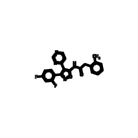 Cc1ccccc1CC(=O)Nc1onc(-c2ccc(F)cc2F)c1-c1ccncn1